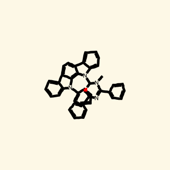 CN1C(c2ccccc2)=NC(c2ccccc2)=NC1n1c2ccccc2c2ccc3c4ccccc4n(-c4ccccc4)c3c21